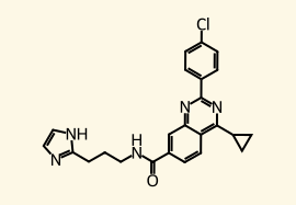 O=C(NCCCc1ncc[nH]1)c1ccc2c(C3CC3)nc(-c3ccc(Cl)cc3)nc2c1